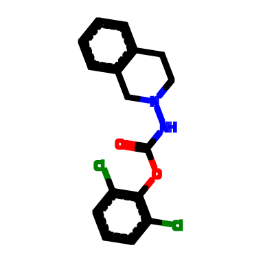 O=C(NN1CCc2ccccc2C1)Oc1c(Cl)cccc1Cl